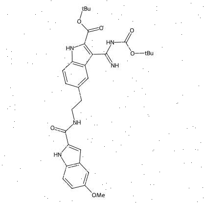 COc1ccc2[nH]c(C(=O)NCCc3ccc4[nH]c(C(=O)OC(C)(C)C)c(C(=N)NC(=O)OC(C)(C)C)c4c3)cc2c1